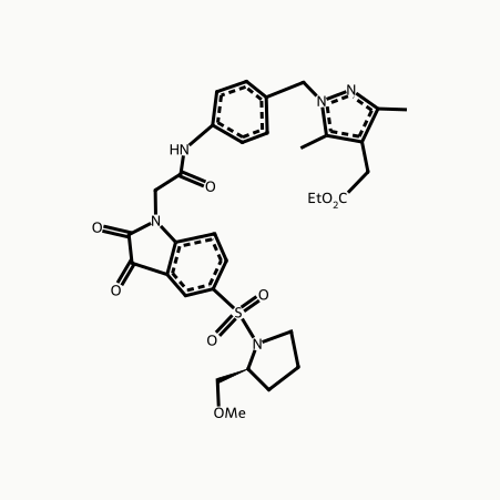 CCOC(=O)Cc1c(C)nn(Cc2ccc(NC(=O)CN3C(=O)C(=O)c4cc(S(=O)(=O)N5CCC[C@H]5COC)ccc43)cc2)c1C